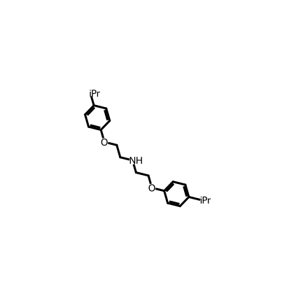 CC(C)c1ccc(OCCNCCOc2ccc(C(C)C)cc2)cc1